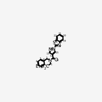 CCOC(=O)CN(Cc1ccccc1)C(=O)c1cnn(-c2nc3ccccc3s2)c1